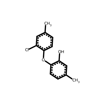 Cc1ccc(Oc2ccc(C)cc2Cl)c(O)c1